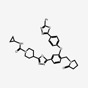 CC(C)c1nnc(-c2ccc(Oc3cc(-c4nnc(C5CCN(C(=O)NC6CC6)CC5)o4)ccc3CN3CCCC3=O)cc2)s1